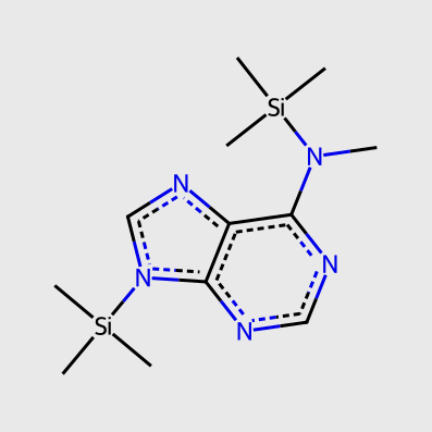 CN(c1ncnc2c1ncn2[Si](C)(C)C)[Si](C)(C)C